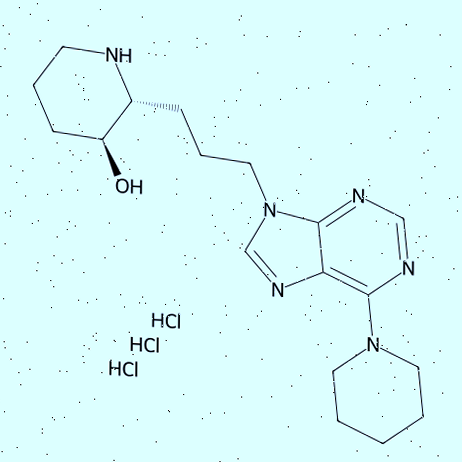 Cl.Cl.Cl.O[C@H]1CCCN[C@@H]1CCCn1cnc2c(N3CCCCC3)ncnc21